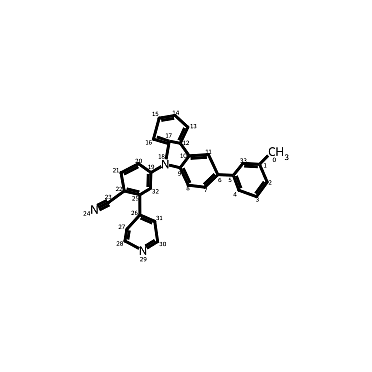 Cc1cccc(-c2ccc3c(c2)c2ccccc2n3-c2ccc(C#N)c(-c3ccncc3)c2)c1